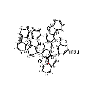 Bc1c(N(c2ccc(CCCC)cc2-c2ccccc2)c2cc3c(oc4ccccc43)c3c2CN2c4ccccc4S4(c5ccccc5-c5ccccc54)c4cccc-3c42)ccc2oc3ccccc3c12